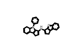 C1=CCC2C(=C1)C1=C(C(NC3=CCc4c3oc3ccccc43)=CC1)N2c1ccccc1